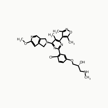 CNC[C@@H](O)COc1ccc(Cl)c(-c2nc(-c3c(C)noc3C)c(C)c(N3Cc4cnc(OC)cc4C3)n2)c1